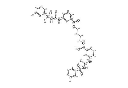 Cc1cccc(S(=O)(=O)NC(=O)Nc2cccc(C(=O)OCCCCOC(=O)c3cccc(NC(=O)NS(=O)(=O)c4cccc(C)c4)c3)c2)c1